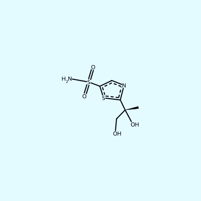 C[C@@](O)(CO)c1ncc(S(N)(=O)=O)s1